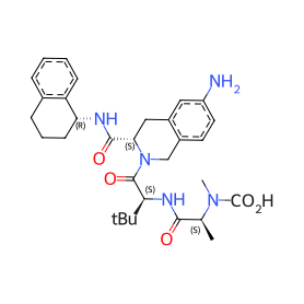 C[C@@H](C(=O)N[C@H](C(=O)N1Cc2ccc(N)cc2C[C@H]1C(=O)N[C@@H]1CCCc2ccccc21)C(C)(C)C)N(C)C(=O)O